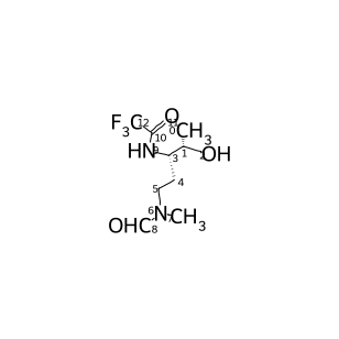 C[C@H](O)[C@H](CCN(C)C=O)NC(=O)C(F)(F)F